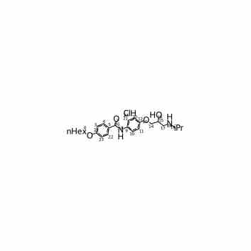 CCCCCCOc1ccc(C(=O)Nc2ccc(OCC(O)CNC(C)C)cc2)cc1.Cl